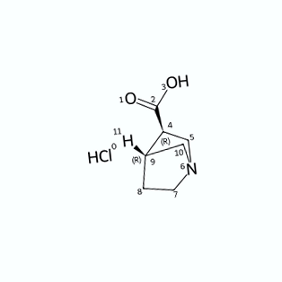 Cl.O=C(O)[C@H]1CN2CC[C@H]1C2